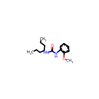 CCCC(CCC)NC(=O)Nc1ccccc1OC